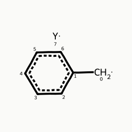 [CH2]c1ccccc1.[Y]